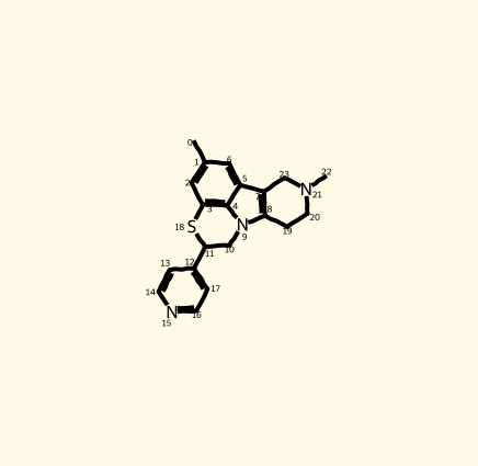 Cc1cc2c3c(c1)c1c(n3CC(c3ccncc3)S2)CCN(C)C1